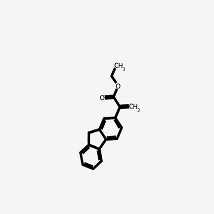 C=C(C(=O)OCC)c1ccc2c(c1)Cc1ccccc1-2